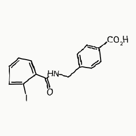 O=C(O)c1ccc(CNC(=O)c2ccccc2I)cc1